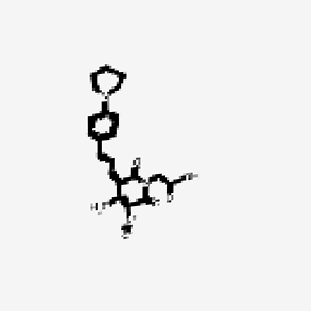 [C-]#[N+]C1=C(C)/C(=C/C=C/c2ccc(N3CCCCC3)cc2)C(=O)N(CC(=O)O)C1=O